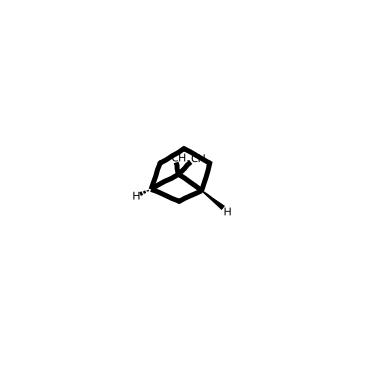 CC1(C)[C@@H]2CCC[C@@H]1C2